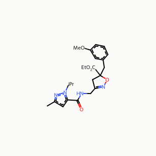 CCOC(=O)C1(Cc2cccc(OC)c2)CC(CNC(=O)c2cc(C)nn2C(C)C)=NO1